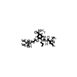 CCCn1c(NC(=O)c2cc(C)nn2CC)nc2cc(C(N)=O)cc(OCCCNS(=O)(=O)N(CC)CC)c21